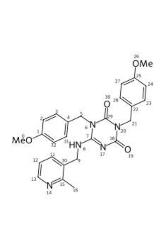 COc1ccc(Cn2c(NCc3cccnc3C)nc(=O)n(Cc3ccc(OC)cc3)c2=O)cc1